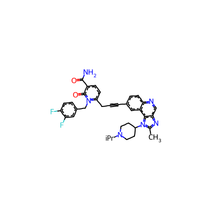 Cc1nc2cnc3ccc(C#CCc4ccc(C(N)=O)c(=O)n4Cc4ccc(F)c(F)c4)cc3c2n1C1CCN(C(C)C)CC1